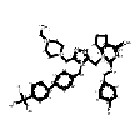 CCN1CCN(Cc2nnc(Cn3c(SCc4ccc(F)cc4)nc(=O)c4c3CCC4)n2Cc2ccc(-c3ccc(C(F)(F)F)cc3)cc2)CC1